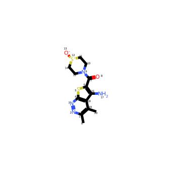 Cc1nnc2sc(C(=O)N3CC[S+]([O-])CC3)c(N)c2c1C